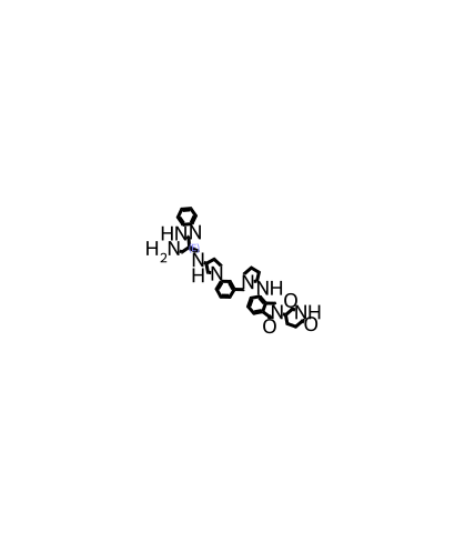 NC/C(=C\NC1CCN(c2cccc(CN3CCCC3Nc3cccc4c3CN(C3CCC(=O)NC3=O)C4=O)c2)C1)c1nc2ccccc2[nH]1